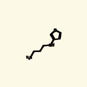 NCCCNc1ccoc1